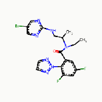 CCN(C(=O)c1cc(F)cc(F)c1-n1nccn1)C(C)CNc1ncc(Br)cn1